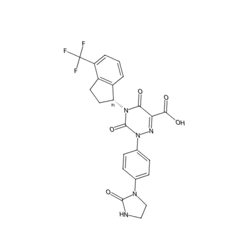 O=C(O)c1nn(-c2ccc(N3CCNC3=O)cc2)c(=O)n([C@@H]2CCc3c2cccc3C(F)(F)F)c1=O